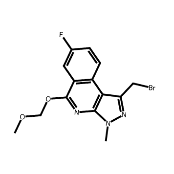 COCOc1nc2c(c(CBr)nn2C)c2ccc(F)cc12